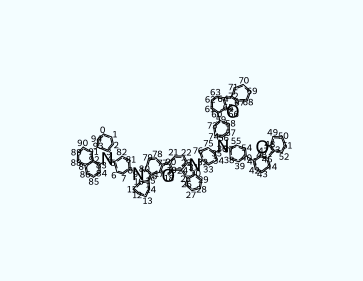 c1ccc(N(c2ccc(-n3c4ccccc4c4c5oc6c(ccc7c6c6ccccc6n7-c6ccc(N(c7ccc(-c8cccc9c8oc8ccccc89)cc7)c7ccc(-c8cccc9c8oc8ccccc89)cc7)cc6)c5ccc43)cc2)c2cccc3ccccc23)cc1